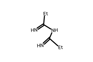 CCC(=N)NC(=N)CC